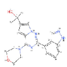 CC(C)(O)c1cc2c(N3CCOCC3)nc(-c3cccc4[nH]ncc34)nn2c1